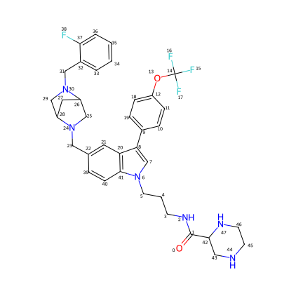 O=C(NCCCn1cc(-c2ccc(OC(F)(F)F)cc2)c2cc(CN3CC4CC3CN4Cc3ccccc3F)ccc21)C1CNCCN1